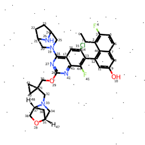 CCc1c(F)ccc2cc(O)cc(-c3c(Cl)cc4c(N5CC6CCC(C5)N6)nc(OCC5(CN6C[C@H]7C[C@@H]6CO7)CC5)nc4c3F)c12